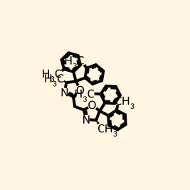 Cc1ccccc1C1(c2ccccc2C)OC(CC2=N[C@H](C)C(c3ccccc3C)(c3ccccc3C)O2)=N[C@@H]1C